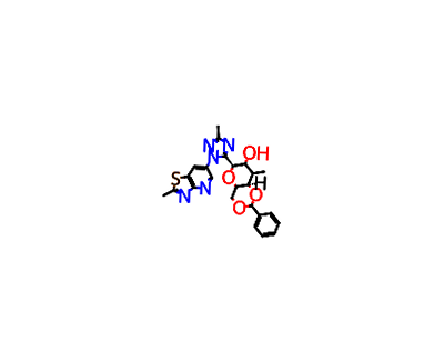 Cc1nc([C@@H]2OC3COC(c4ccccc4)O[C@@H]3C(C)C2O)n(-c2cnc3nc(C)sc3c2)n1